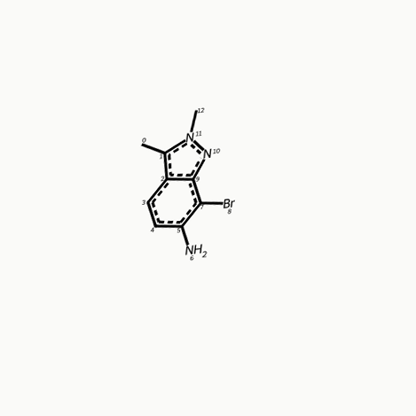 Cc1c2ccc(N)c(Br)c2nn1C